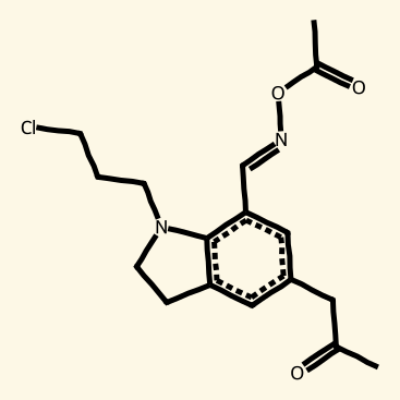 CC(=O)Cc1cc(C=NOC(C)=O)c2c(c1)CCN2CCCCl